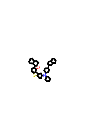 c1ccc(N(c2ccc(-c3ccc4ccccc4c3)cc2)c2ccc3sc4ccc5c(oc6ccc7ccccc7c65)c4c3c2)cc1